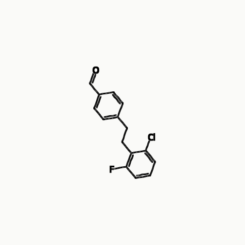 O=Cc1ccc(CCc2c(F)cccc2Cl)cc1